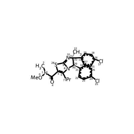 CON(C)C(=O)C1=C(C(C)C)N2C(=N[C@@](C)(c3ccc(Cl)cc3)[C@H]2c2ccc(Cl)cc2)S1